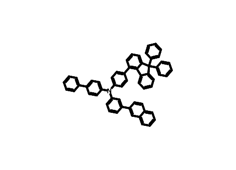 c1ccc(-c2ccc(N(c3ccc(-c4cccc5c4-c4ccccc4C5(c4ccccc4)c4ccccc4)cc3)c3cccc(-c4ccc5ccccc5c4)c3)cc2)cc1